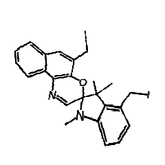 CN1c2cccc(CI)c2C(C)(C)C12C=Nc1c(c(CI)cc3ccccc13)O2